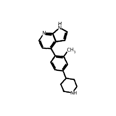 Cc1cc(C2CCNCC2)ccc1-c1ccnc2[nH]ccc12